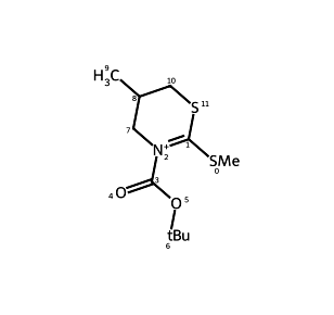 CSC1=[N+](C(=O)OC(C)(C)C)CC(C)CS1